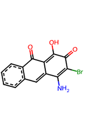 NC1=C(Br)C(=O)C(O)=C2C(=O)c3ccccc3C=C12